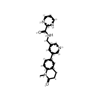 CN1C(=O)CCc2cc(-c3cncc(CNC(=O)c4ncccn4)c3)ccc21